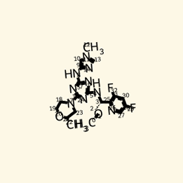 COC[C@H](Nc1nc(Nc2cn(C)cn2)nc(N2CCOC(C)C2)n1)c1ncc(F)cc1F